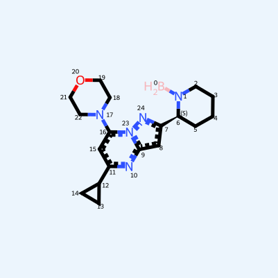 BN1CCCC[C@H]1c1cc2nc(C3CC3)cc(N3CCOCC3)n2n1